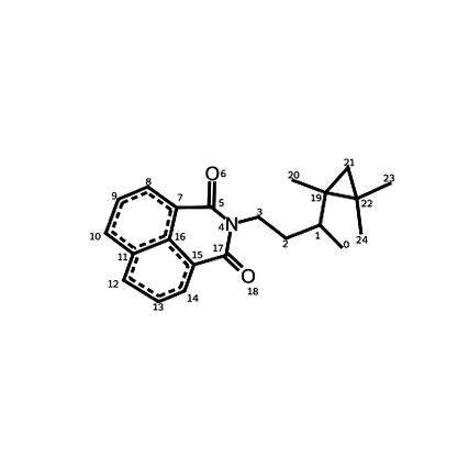 CC(CCN1C(=O)c2cccc3cccc(c23)C1=O)C1(C)CC1(C)C